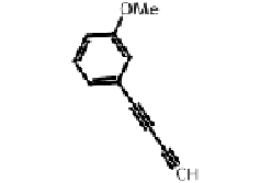 C#CC#Cc1cccc(OC)c1